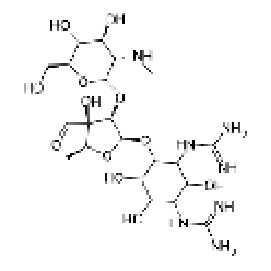 CN[C@@H]1[C@H](O[C@H]2[C@@H](OC3C(O)C(O)C(NC(=N)N)C(O)C3NC(=N)N)O[C@@H](C)[C@]2(O)C=O)O[C@@H](CO)[C@H](O)[C@H]1O